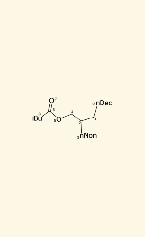 CCCCCCCCCCCC(CCCCCCCCC)COC(=O)C(C)CC